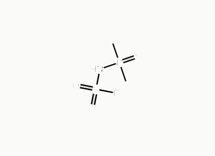 CP(C)(=O)NS(=O)(=O)F